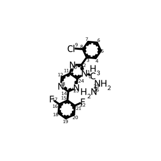 Cn1c(-c2ccccc2Cl)nc2cnc(-c3c(F)cccc3F)nc21.NN